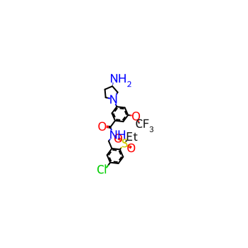 CCS(=O)(=O)c1ccc(Cl)cc1CNC(=O)c1cc(OC(F)(F)F)cc(N2CC[C@H](N)C2)c1